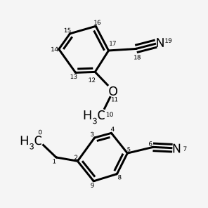 CCc1ccc(C#N)cc1.COc1ccccc1C#N